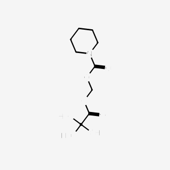 CC(C)(C)C(=O)OCOC(=O)N1CCCCC1